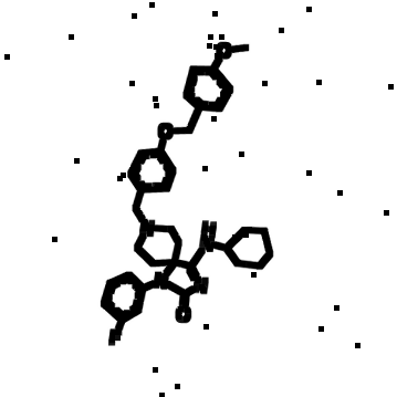 COc1ccc(COc2ccc(CN3CCC4(CC3)C(NC3CCCCC3)=NC(=O)N4c3cccc(F)c3)cc2)cc1